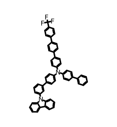 FC(F)(F)c1ccc(-c2ccc(-c3ccc(N(c4ccc(-c5ccccc5)cc4)c4ccc(-c5cccc(-n6c7ccccc7c7ccccc76)c5)cc4)cc3)cc2)cc1